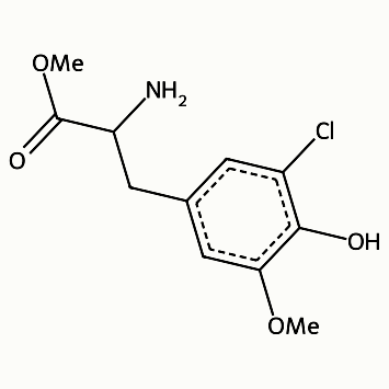 COC(=O)C(N)Cc1cc(Cl)c(O)c(OC)c1